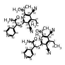 CCc1c(C#N)c(SC(C(N)=O)c2ccncc2)nc(N(C)C)c1C#N.CCc1c(C#N)c(SC(C(N)=O)c2ccncc2)nc(N(C)C)c1C#N